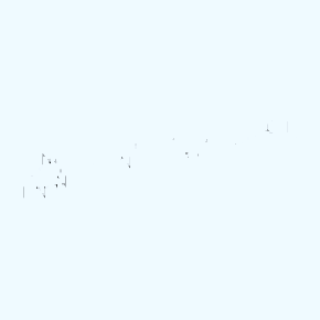 CC#CCCOCCCNCCCc1nc[nH]n1